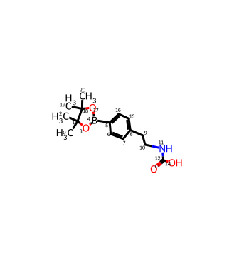 CC1(C)OB(c2ccc(CCNC(=O)O)cc2)OC1(C)C